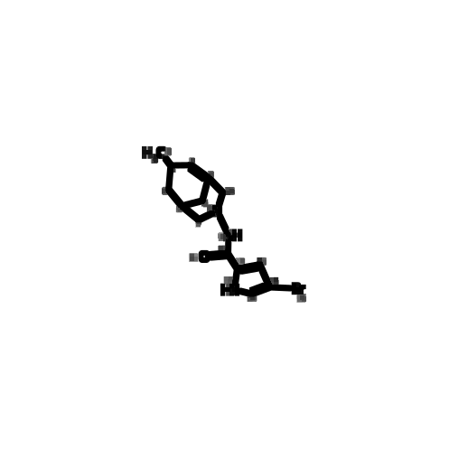 CC1C=C2CC(C1)CN(NC(=O)c1cc(Br)c[nH]1)C2